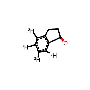 [2H]c1c([2H])c([2H])c2c(c1[2H])CCC2=O